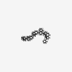 c1ccc(-c2ccc3ccc4ccc(-c5ccc(-c6ccc7ccc(-c8ccc9ccc(-c%10ccncn%10)nc9c8)nc7c6)c6ccccc56)nc4c3n2)cc1